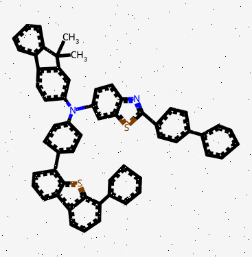 CC1(C)c2ccccc2-c2ccc(N(c3ccc(-c4cccc5c4sc4c(-c6ccccc6)cccc45)cc3)c3ccc4nc(-c5ccc(-c6ccccc6)cc5)sc4c3)cc21